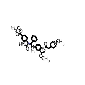 COC(=O)c1ccc2c(c1)NC(=O)/C2=C(\Nc1ccc2c(c1)C(OC)CN2C(=O)CC1CCN(C)CC1)c1ccccc1